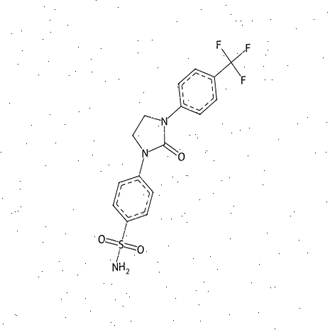 NS(=O)(=O)c1ccc(N2CCN(c3ccc(C(F)(F)F)cc3)C2=O)cc1